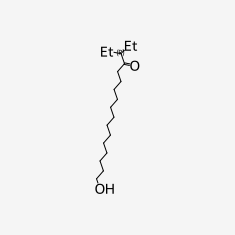 [CH2]C[C@H](CC)C(=O)CCCCCCCCCCCCCO